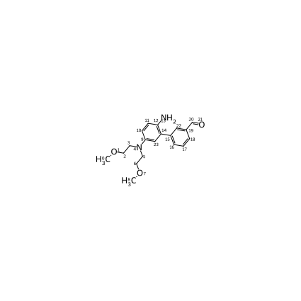 COCCN(CCOC)c1ccc(N)c(-c2cccc(C=O)c2)c1